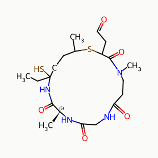 CCC1(S)CCC(C)SC(CC=O)C(=O)N(C)CCC(=O)NCC(=O)N[C@@H](C)C(=O)N1